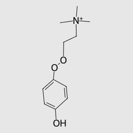 C[N+](C)(C)CCOOc1ccc(O)cc1